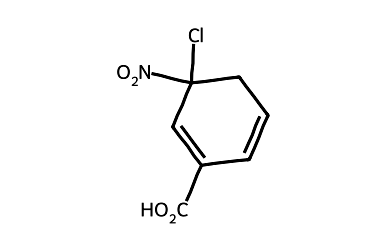 O=C(O)C1=CC(Cl)([N+](=O)[O-])CC=C1